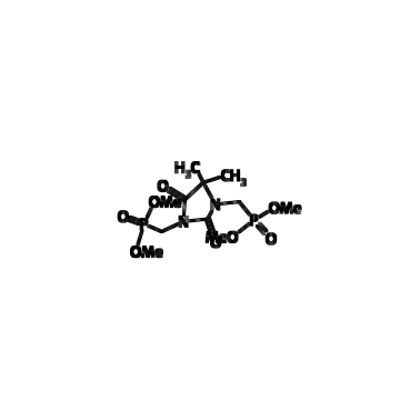 COP(=O)(CN1C(=O)N(CP(=O)(OC)OC)C(C)(C)C1=O)OC